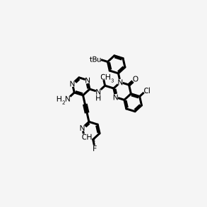 C/N=C(C#Cc1c(N)ncnc1NC(C)c1nc2cccc(Cl)c2c(=O)n1-c1cccc(C(C)(C)C)c1)\C=C/CF